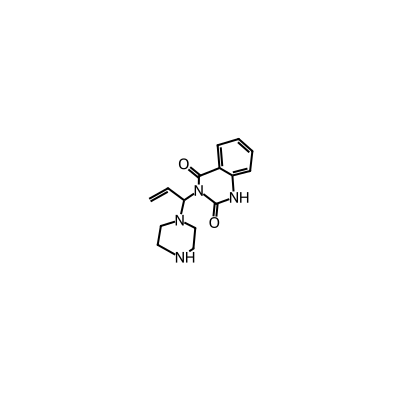 C=CC(N1CCNCC1)n1c(=O)[nH]c2ccccc2c1=O